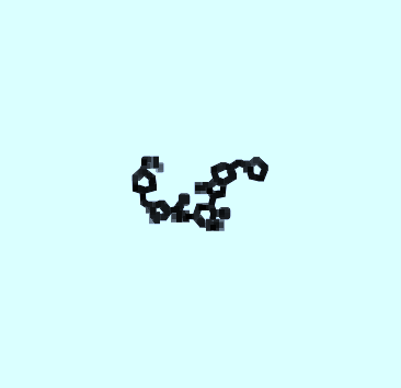 Cc1ccc(Cn2cc(C(=O)Nc3c[nH]c(=O)c(-c4cc5cc(CN6CCCC6)ccc5[nH]4)c3)cn2)cc1